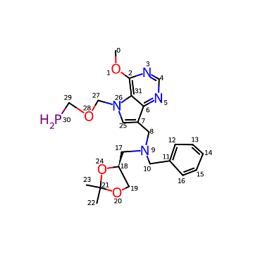 COc1ncnc2c(CN(Cc3ccccc3)C[C@H]3COC(C)(C)O3)cn(COCP)c12